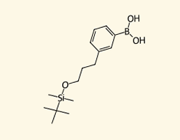 CC(C)(C)[Si](C)(C)OCCCc1cccc(B(O)O)c1